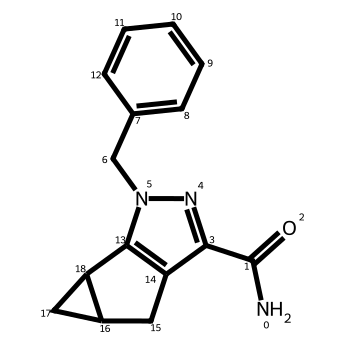 NC(=O)c1nn(Cc2ccccc2)c2c1CC1CC21